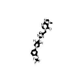 Cn1cnc2ncn(Cc3nc([C@@H]4[C@@H]5CN(c6cccc(SC(F)(F)F)c6)C[C@@H]54)no3)c(=O)c21